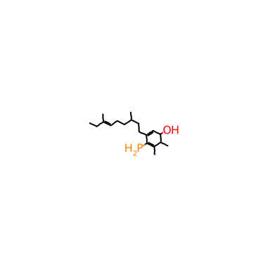 CC/C(C)=C/CCC(C)CCC1=CC(O)C(C)C(C)=C1P